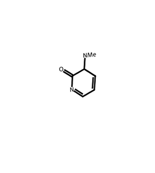 CNC1C=CC=NC1=O